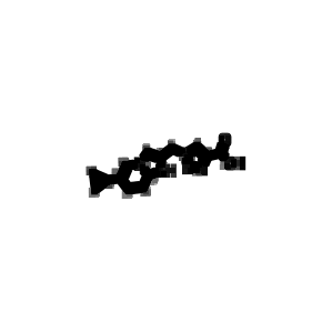 O=C(O)c1cn(CC2=CN3C=C(C4CC4)C=CC3N2)nn1